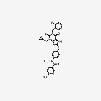 Cc1ccc(C(=O)N(C)c2ccc(Cc3nc4c([nH]3)c(=O)n(Cc3ccccc3F)c(=O)n4CC3CC3)cc2)cn1